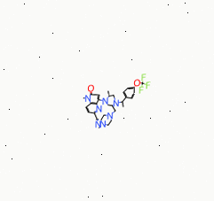 CC(c1ccc(OC(F)(F)F)cc1)N1C[C@H](C)N(c2cc(=O)n(C)c3ccc(C#N)nc23)CC1CN1CCN(C)CC1